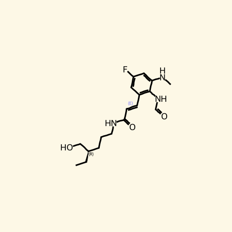 CC[C@@H](CO)CCCNC(=O)/C=C/c1cc(F)cc(NC)c1NC=O